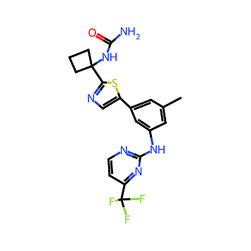 Cc1cc(Nc2nccc(C(F)(F)F)n2)cc(-c2cnc(C3(NC(N)=O)CCC3)s2)c1